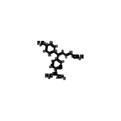 CN(C)c1ncc(/C(=C\C=C\C(=O)O)c2ccc(C(F)(F)F)cc2)cn1